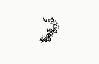 COc1ccc2c(c1)CN(C(=O)Nc1ccc3c(c1)CN(C1CCC(=O)NC1=O)C3=O)CC2